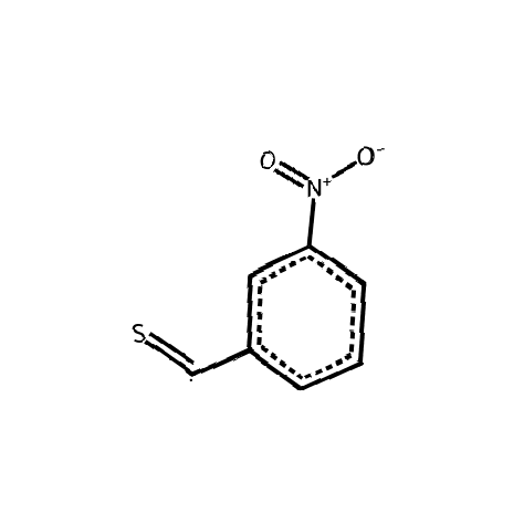 O=[N+]([O-])c1cccc([C]=S)c1